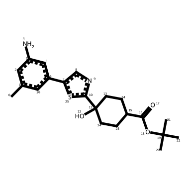 Cc1cc(N)cc(-c2cnc(C3(O)CCC(C(=O)OC(C)(C)C)CC3)s2)c1